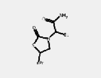 CCCC1CN(C(CC)C(N)=O)C(=O)S1